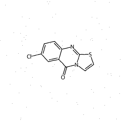 O=c1c2cc(Cl)ccc2nc2sccn12